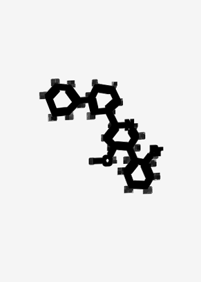 COc1cc(-c2cccc(-c3ccccc3)c2)ncc1-c1ccccc1Br